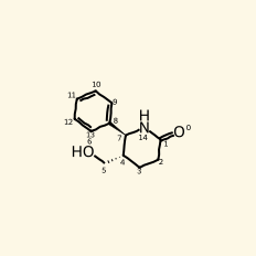 O=C1CC[C@H](CO)[C@@H](c2ccccc2)N1